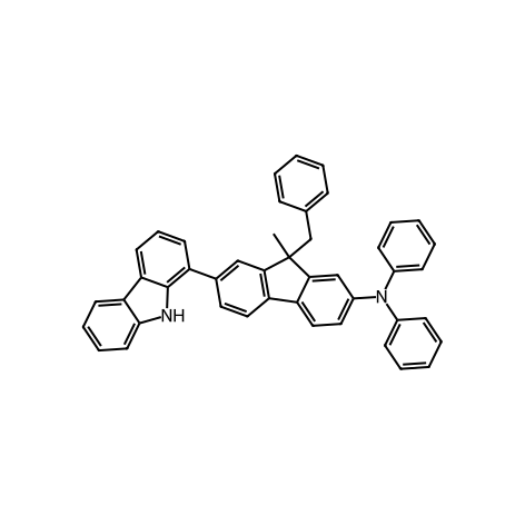 CC1(Cc2ccccc2)c2cc(-c3cccc4c3[nH]c3ccccc34)ccc2-c2ccc(N(c3ccccc3)c3ccccc3)cc21